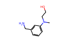 CN(CCO)c1cccc(CN)c1